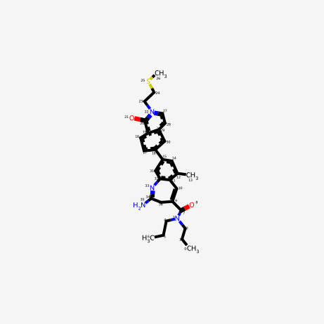 CCCN(CCC)C(=O)C1=Cc2c(C)cc(-c3ccc4c(=O)n(CCSC)ccc4c3)cc2N=C(N)C1